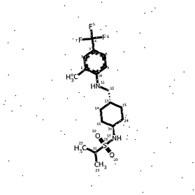 Cc1cc(C(F)(F)F)ccc1NC[C@H]1CC[C@H](NS(=O)(=O)C(C)C)CC1